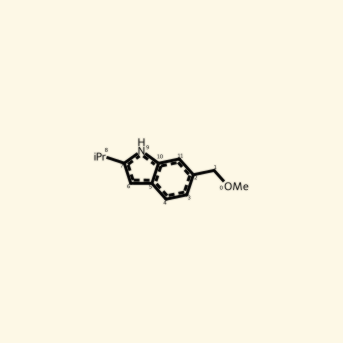 COCc1ccc2cc(C(C)C)[nH]c2c1